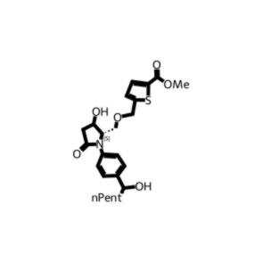 CCCCCC(O)c1ccc(N2C(=O)CC(O)[C@@H]2COCc2ccc(C(=O)OC)s2)cc1